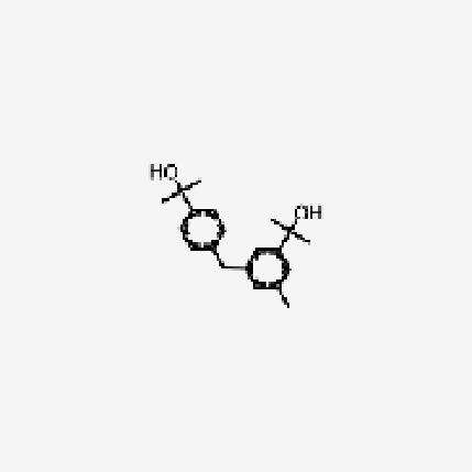 Cc1cc(Cc2ccc(C(C)(C)O)cc2)cc(C(C)(C)O)c1